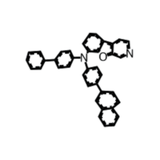 c1ccc(-c2ccc(N(c3ccc(-c4ccc5ccccc5c4)cc3)c3cccc4c3oc3cnccc34)cc2)cc1